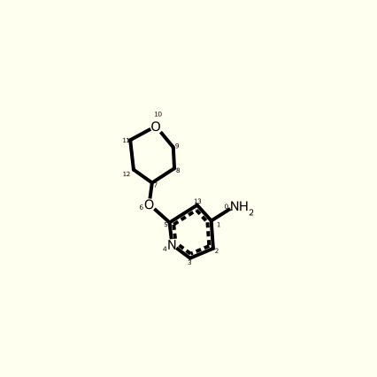 Nc1ccnc(OC2CCOCC2)c1